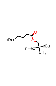 CCCCCCCCCCCCCC(=O)OCC(C)(CCCC)CCCCCC